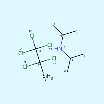 CC(C)NC(C)C.[SiH3]C(Cl)(Cl)C(Cl)(Cl)Cl